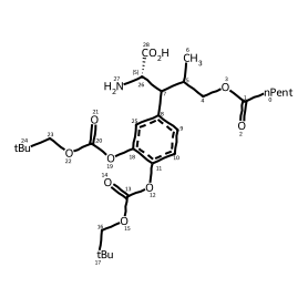 CCCCCC(=O)OCC(C)C(c1ccc(OC(=O)OCC(C)(C)C)c(OC(=O)OCC(C)(C)C)c1)[C@H](N)C(=O)O